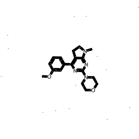 COc1cccc(-c2nc(N3CCOCC3)nc3c2CCN3C)c1